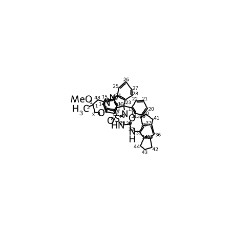 CO[C@@]1(C)COc2c(S(=O)(=NC(c3ccccc3)(c3ccccc3)c3ccccc3)NC(=O)Nc3c4c(cc5c3CCC5)CCC4)cnn2C1